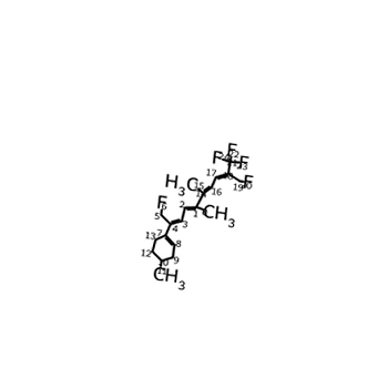 CC(=C\C=C(/CF)C1=CCC(C)CC1)/C(C)=C/C=C(\CF)C(F)(F)F